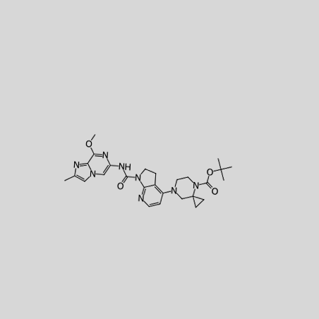 COc1nc(NC(=O)N2CCc3c(N4CCN(C(=O)OC(C)(C)C)C5(CC5)C4)ccnc32)cn2cc(C)nc12